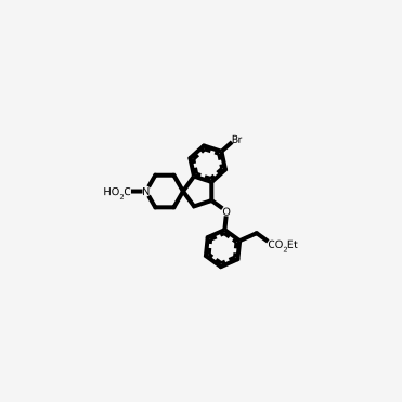 CCOC(=O)Cc1ccccc1OC1CC2(CCN(C(=O)O)CC2)c2ccc(Br)cc21